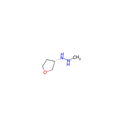 CNN[C@H]1CCOC1